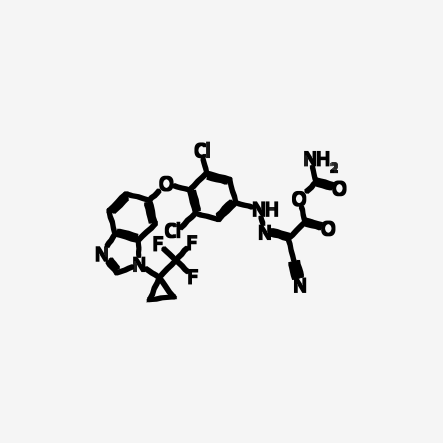 N#CC(=NNc1cc(Cl)c(Oc2ccc3ncn(C4(C(F)(F)F)CC4)c3c2)c(Cl)c1)C(=O)OC(N)=O